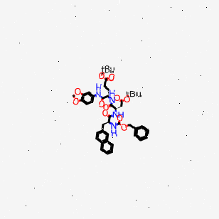 CC(C)(C)OC(=O)CC[C@H](NC(=O)[C@H](CC(=O)OC(C)(C)C)NC(=O)[C@H](Cc1ccc2ccccc2c1)NC(=O)OCc1ccccc1)C(=O)Nc1ccc2c(c1)OCO2